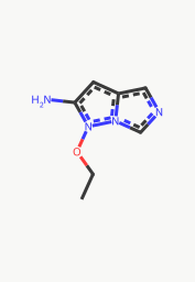 CCOn1c(N)cc2cncn21